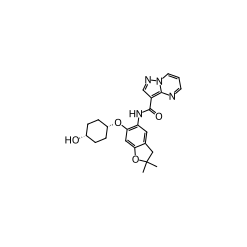 CC1(C)Cc2cc(NC(=O)c3cnn4cccnc34)c(O[C@H]3CC[C@@H](O)CC3)cc2O1